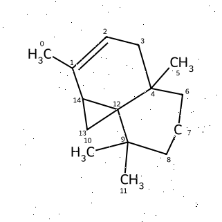 CC1=CCC2(C)CCCC(C)(C)C23CC13